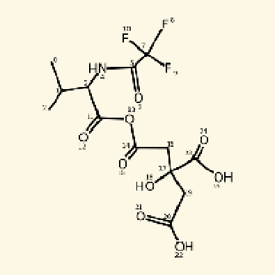 CC(C)C(NC(=O)C(F)(F)F)C(=O)OC(=O)CC(O)(CC(=O)O)C(=O)O